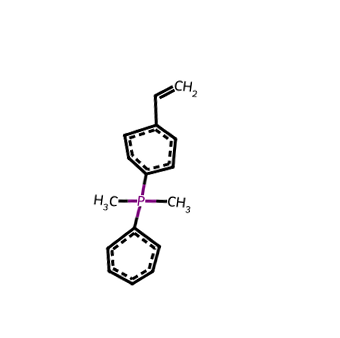 C=Cc1ccc([P](C)(C)c2ccccc2)cc1